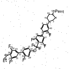 CCCCCC1CCC(c2ccc(-c3cc(F)c(C(F)(F)Oc4ccc(-c5cc(F)c(SCC)c(F)c5)c(F)c4)c(F)c3)c(F)c2)CC1